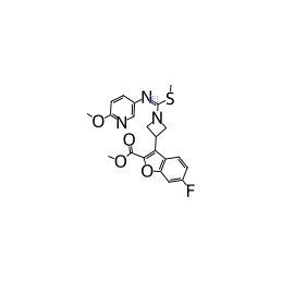 COC(=O)c1oc2cc(F)ccc2c1C1CN(/C(=N\c2ccc(OC)nc2)SC)C1